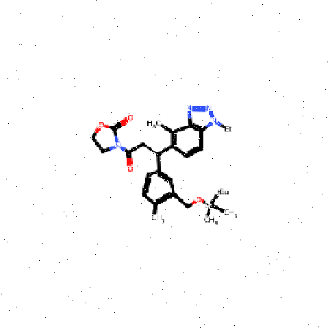 CCn1nnc2c(C)c([C@H](CC(=O)N3CCOC3=O)c3ccc(C)c(CO[Si](C)(C)C(C)(C)C)c3)ccc21